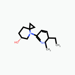 CCC(/C=C\C(=C/N)N1C[C@H](O)CCC12CC2)CC